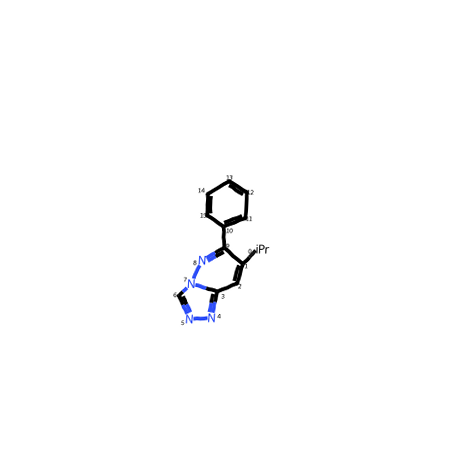 CC(C)c1cc2nncn2nc1-c1ccccc1